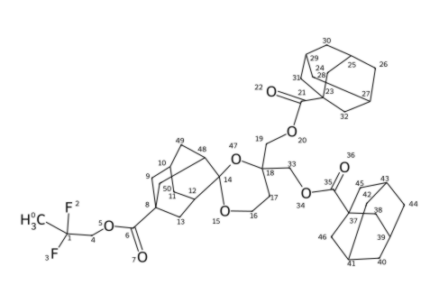 CC(F)(F)COC(=O)C12CC3CC(C1)C1(OCCC(COC(=O)C45CC6CC(CC(C6)C4)C5)(COC(=O)C45CC6CC(CC(C6)C4)C5)O1)C(C3)C2